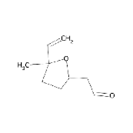 C=CC1(C)CCC(CC=O)O1